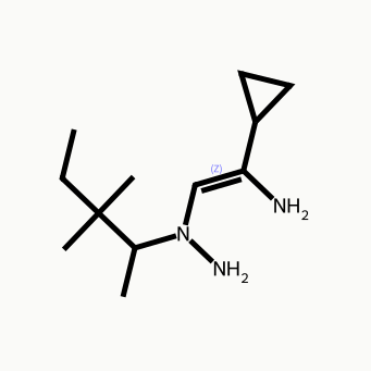 CCC(C)(C)C(C)N(N)/C=C(\N)C1CC1